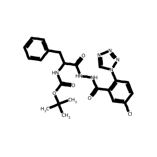 CC(C)(C)OC(=O)NC(Cc1ccccc1)C(=O)NNC(=O)c1cc(Cl)ccc1-n1cnnn1